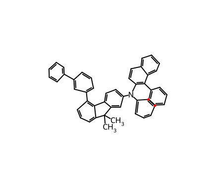 CC1(C)c2cc(N(c3ccccc3)c3ccc4ccccc4c3-c3ccccc3)ccc2-c2c(-c3cccc(-c4ccccc4)c3)cccc21